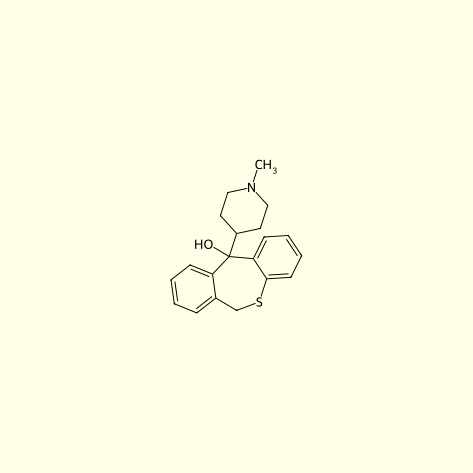 CN1CCC(C2(O)c3ccccc3CSc3ccccc32)CC1